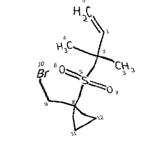 C=CC(C)(C)S(=O)(=O)C1(CBr)CC1